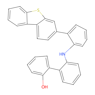 Oc1ccccc1-c1ccccc1Nc1ccccc1-c1ccc2c(c1)sc1ccccc12